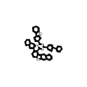 c1ccc(-c2ccc(-c3nc(-c4ccc5c(c4)oc4ccccc45)nc(-c4c(-c5ccc6ccccc6c5)ccc5oc6cc7ccccc7cc6c45)n3)cc2)cc1